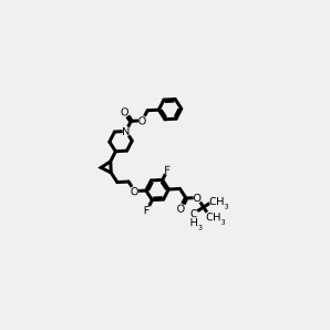 CC(C)(C)OC(=O)Cc1cc(F)c(OCCC2CC2C2CCN(C(=O)OCc3ccccc3)CC2)cc1F